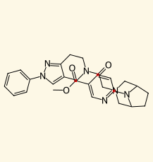 COC(=O)c1ccc(N2C3CCC2CN(CC(=O)N2CCc4nn(-c5ccccc5)cc4C2)C3)nc1